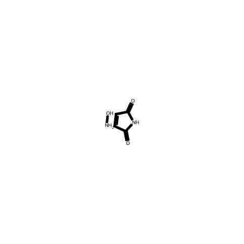 NO.O=C1C=CC(=O)N1